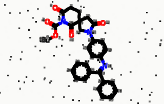 CC(C)(C)OC(=O)N1C(=O)CCC2(CC(=O)N(c3ccc(N=C(c4ccccc4)c4ccccc4)cc3)C2)C1=O